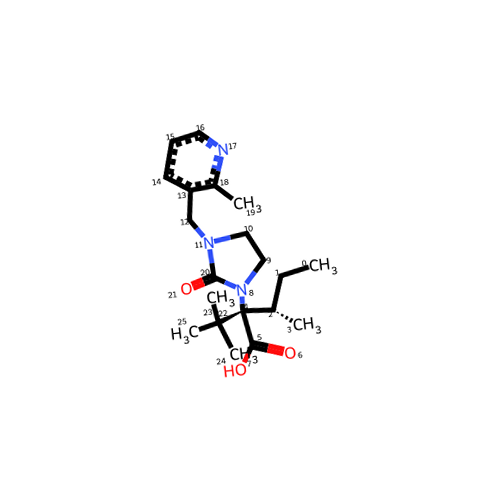 CC[C@H](C)[C@](C(=O)O)(N1CCN(Cc2cccnc2C)C1=O)C(C)(C)C